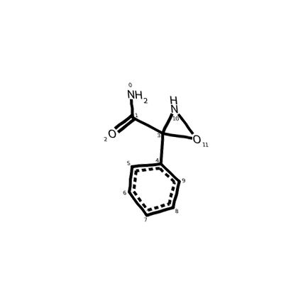 NC(=O)C1(c2ccccc2)NO1